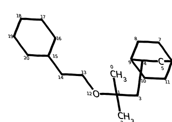 CC(C)(CC1CC2CCC1CC2)OCCC1CCCCC1